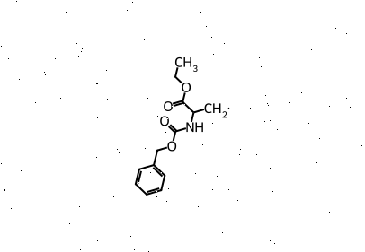 [CH2]C(NC(=O)OCc1ccccc1)C(=O)OCC